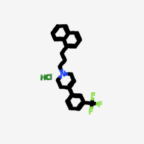 Cl.FC(F)(F)c1cccc(C2=CCN(CCCc3cccc4ccccc34)CC2)c1